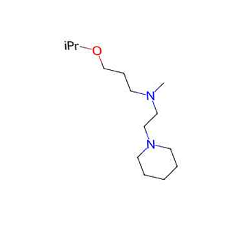 CC(C)OCCCN(C)CCN1CCCCC1